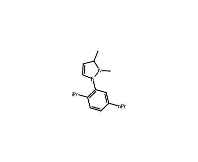 CCCc1ccc(C(C)C)c(N2C=CC(C)N2C)c1